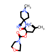 C=C(C)CC(OC(=O)N1CCOCC1)C(=O)NC1(C#N)CCN(C)CC1